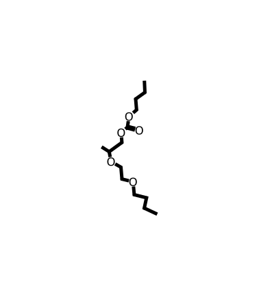 CCCCOCCOC(C)COC(=O)OCCCC